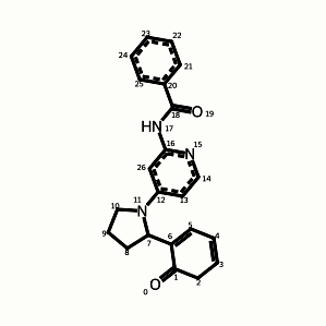 O=C1CC=CC=C1C1CCCN1c1ccnc(NC(=O)c2ccccc2)c1